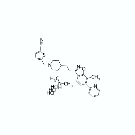 CNC.Cc1c(-c2ccccn2)ccc2c(CCC3CCN(Cc4ccc(C#N)s4)CC3)noc12.Cl.Cl.Cl